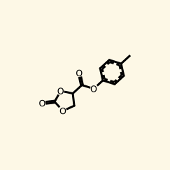 Cc1ccc(OC(=O)C2COC(=O)O2)cc1